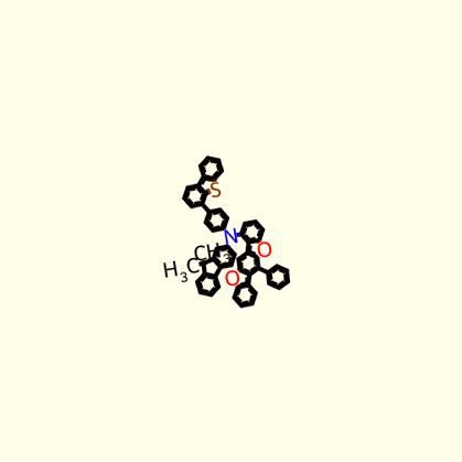 CC1(C)c2ccccc2-c2ccc(N(c3ccc(-c4cccc5c4sc4ccccc45)cc3)c3cccc4oc5c(-c6ccccc6)c6c(cc5c34)oc3ccccc36)cc21